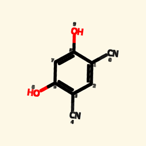 N#Cc1cc(C#N)c(O)cc1O